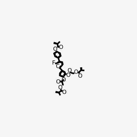 C=C(C)C(=O)OCC(=O)Oc1ccc(-c2ccc(-c3ccc(OC(=O)C(=C)C)cc3)c(F)c2)cc1OC(=O)COC(=O)C(=C)C